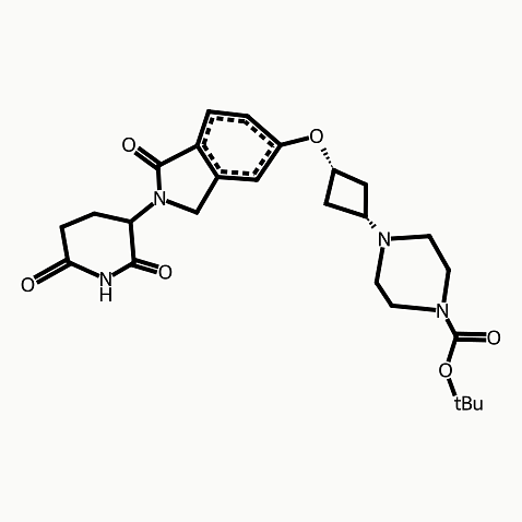 CC(C)(C)OC(=O)N1CCN([C@H]2C[C@@H](Oc3ccc4c(c3)CN(C3CCC(=O)NC3=O)C4=O)C2)CC1